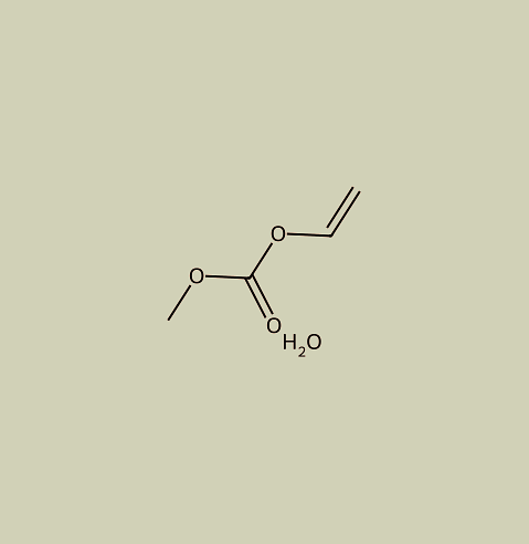 C=COC(=O)OC.O